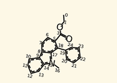 CCOC(=O)c1ccc2c3ccccc3n(C)c2c1-c1ccccc1